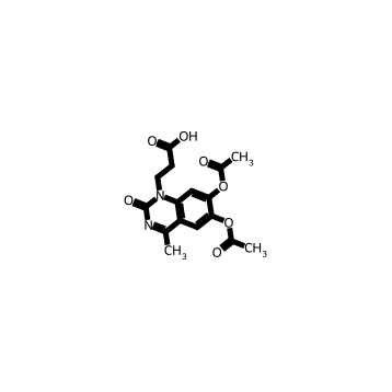 CC(=O)Oc1cc2c(C)nc(=O)n(CCC(=O)O)c2cc1OC(C)=O